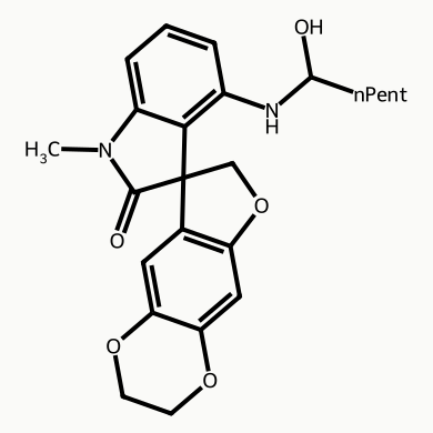 CCCCCC(O)Nc1cccc2c1C1(COc3cc4c(cc31)OCCO4)C(=O)N2C